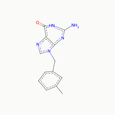 Cc1cccc(Cn2cnc3c(=O)[nH]c(N)nc32)c1